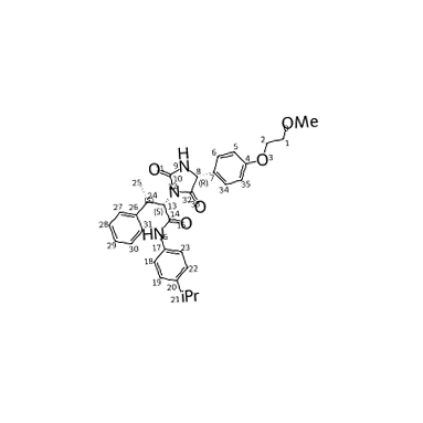 COCCOc1ccc([C@H]2NC(=O)N([C@H](C(=O)Nc3ccc(C(C)C)cc3)[C@@H](C)c3ccccc3)C2=O)cc1